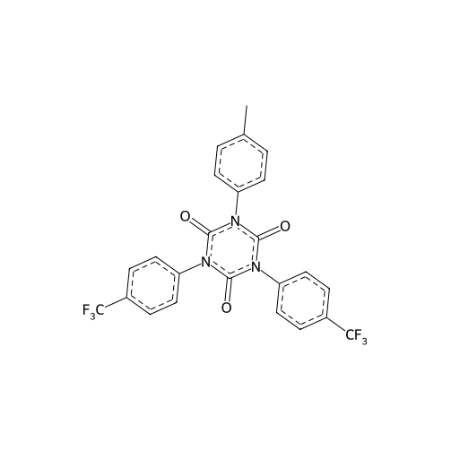 Cc1ccc(-n2c(=O)n(-c3ccc(C(F)(F)F)cc3)c(=O)n(-c3ccc(C(F)(F)F)cc3)c2=O)cc1